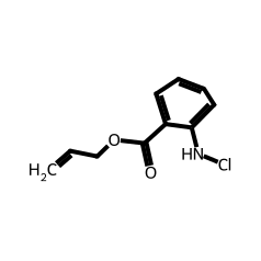 C=CCOC(=O)c1ccccc1NCl